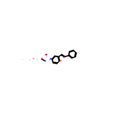 COC[C@H]1CN(c2ccc3oc(-c4ccccc4)cc3c2)C(=O)O1